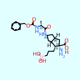 C[C@H](NC(=O)OCc1ccccc1)C(=O)N[C@H]1C[C@@H]2C[C@@](N)(C(=O)O)[C@@H](CCCB(O)O)[C@@H]2C1